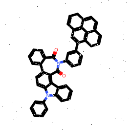 O=c1c2ccccc2c2ccc3c(c4ccccc4n3-c3ccccc3)c2c(=O)n1-c1cccc(-c2cc3c4c(ccc5c4c2CC=C5)CC=C3)c1